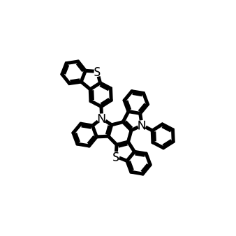 c1ccc(-n2c3ccccc3c3c4c(c5ccccc5n4-c4ccc5sc6ccccc6c5c4)c4sc5ccccc5c4c32)cc1